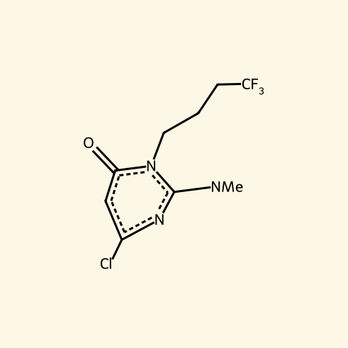 CNc1nc(Cl)cc(=O)n1CCCC(F)(F)F